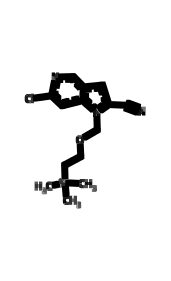 C[Si](C)(C)CCOCn1c(C#N)cc2cnc(Cl)cc21